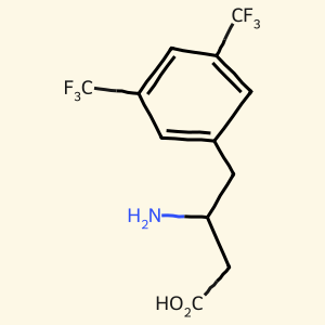 NC(CC(=O)O)Cc1cc(C(F)(F)F)cc(C(F)(F)F)c1